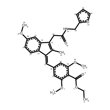 CCOC(=O)c1c(OC)cc(C=C2C(C)=C(CC(=O)NCc3ccco3)c3cc(OC)ccc32)cc1OC